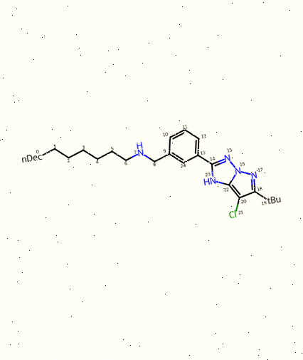 CCCCCCCCCCCCCCCCNCc1cccc(-c2nn3nc(C(C)(C)C)c(Cl)c3[nH]2)c1